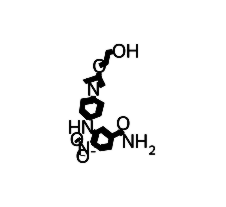 NC(=O)c1ccc([N+](=O)[O-])c(Nc2ccc(N3CC(OCCO)C3)cc2)c1